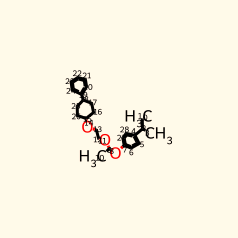 CCC(C)c1ccc(OC(C)OCCOC2CCC(c3ccccc3)CC2)cc1